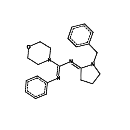 c1ccc(CN2CCCC2=NC(=Nc2ccccc2)N2CCOCC2)cc1